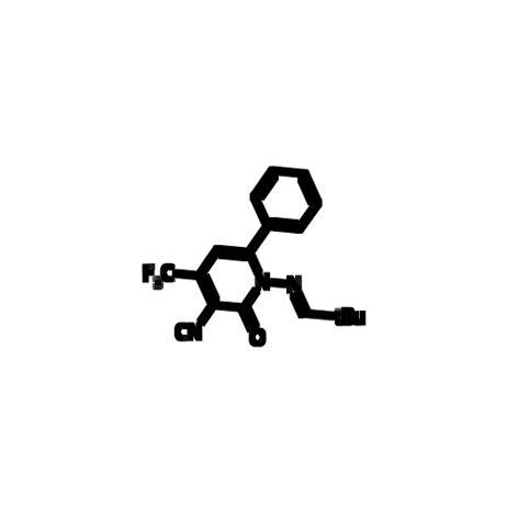 [C-]#[N+]c1c(C(F)(F)F)cc(-c2ccccc2)n(/N=C/C(C)(C)C)c1=O